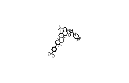 COC(=O)c1ccc(C2=CC[C@@]3(C)C(CC[C@]4(C)C3CC[C@@H]3C5[C@H](C(C)C)CC[C@]5(NC(=O)CN5CCC(F)(F)CC5)CC[C@]34C)C2(C)C)cc1